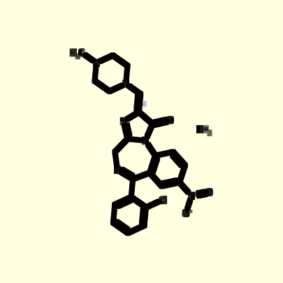 CN1CCN(/C=C2\N=C3CN=C(c4ccccc4Cl)c4cc([N+](=O)[O-])ccc4N3C2=O)CC1.N